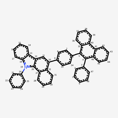 c1ccc(-c2c(-c3ccc(-c4cc5c6ccccc6n(-c6ccccc6)c5c5ccccc45)cc3)c3ccccc3c3ccccc23)cc1